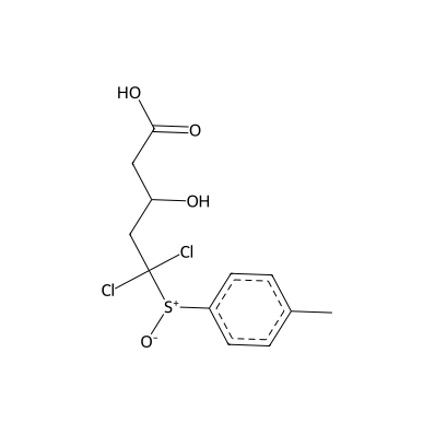 Cc1ccc([S+]([O-])C(Cl)(Cl)CC(O)CC(=O)O)cc1